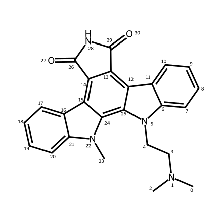 CN(C)CCn1c2ccccc2c2c3c(c4c5ccccc5n(C)c4c21)C(=O)NC3=O